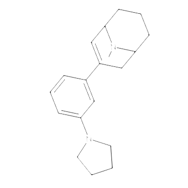 CN1C2C=C(c3cccc(N4CCCC4)c3)CC1CCC2